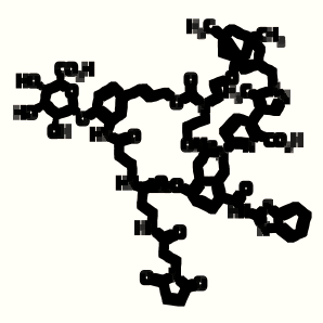 COCCN(CCOC12CC3(C)CC(C)(CC(Cn4ncc(-c5ccc(N6CCc7c(OC)ccc(C(=O)Nc8nc9ccccc9s8)c7C6)nc5C(=O)O)c4C)(C3)C1)C2)C(=O)OC/C=C/c1ccc(O[C@@H]2O[C@H](C(=O)O)[C@@H](O)[C@H](O)[C@H]2O)c(NC(=O)CCNC(=O)CCNC(=O)CCN2C(=O)C=CC2=O)c1